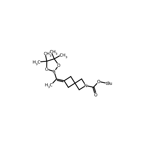 CC(B1OC(C)(C)C(C)(C)O1)=C1CC2(C1)CN(C(=O)OC(C)(C)C)C2